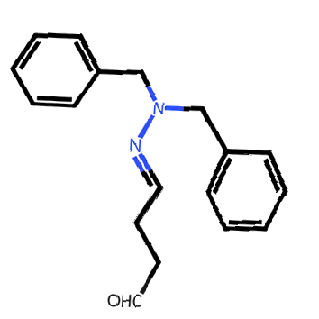 O=CCCC=NN(Cc1ccccc1)Cc1ccccc1